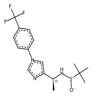 C[C@H](N[S+]([O-])C(C)(C)C)c1cn(-c2ccc(C(F)(F)F)cc2)cn1